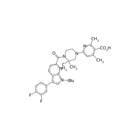 Cc1cc(N2CCN(C(=O)c3ccc4c(-c5ccc(F)c(F)c5)cn(C(C)(C)C)c4n3)C(C)(C)C2)nc(C)c1C(=O)O